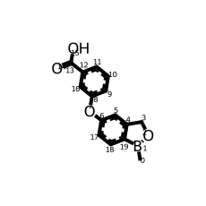 CB1OCc2cc(Oc3cccc(C(=O)O)c3)ccc21